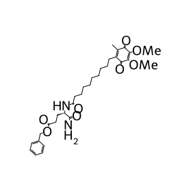 COC1=C(OC)C(=O)C(CCCCCCCCCC(=O)N[C@H](CCC(=O)OCc2ccccc2)C(N)=O)=C(C)C1=O